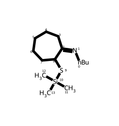 CCCCN=C1CCCCCC1S[Si](C)(C)C